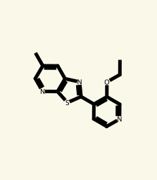 CCOc1cnccc1-c1nc2cc(C)cnc2s1